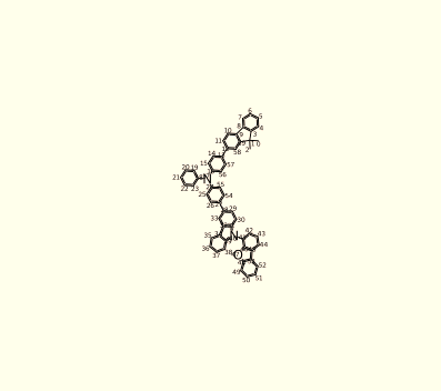 CC1(C)c2ccccc2-c2ccc(-c3ccc(N(c4ccccc4)c4ccc(-c5ccc6c(c5)c5ccccc5n6-c5cccc6c5oc5ccccc56)cc4)cc3)cc21